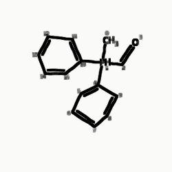 C[PH](C=O)(c1ccccc1)c1ccccc1